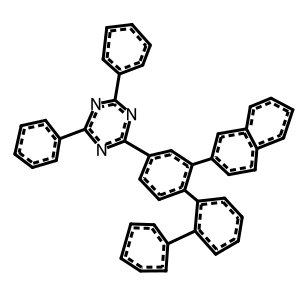 c1ccc(-c2nc(-c3ccccc3)nc(-c3ccc(-c4ccccc4-c4ccccc4)c(-c4ccc5ccccc5c4)c3)n2)cc1